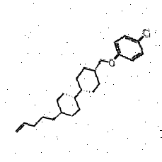 C=CCCC[C@H]1CC[C@H]([C@H]2CC[C@H](COc3ccc(Cl)cc3)CC2)CC1